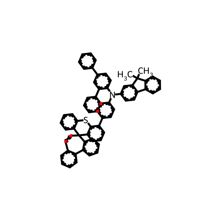 CC1(C)c2ccccc2-c2ccc(N(c3ccc(-c4cccc5c4Sc4ccccc4C54c5ccccc5-c5ccccc5-c5ccccc54)cc3)c3ccc(-c4ccccc4)cc3-c3ccccc3)cc21